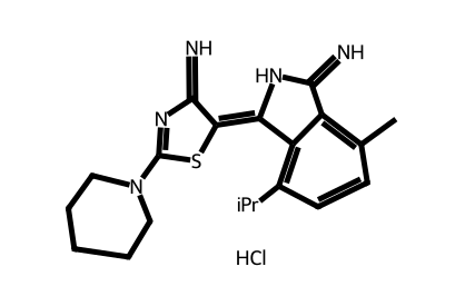 Cc1ccc(C(C)C)c2c1C(=N)NC2=C1SC(N2CCCCC2)=NC1=N.Cl